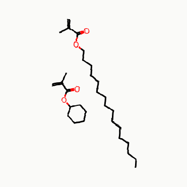 C=C(C)C(=O)OC1CCCCC1.C=C(C)C(=O)OCCCCCCCCCCCCCCCC